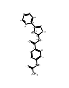 CC(=O)Nc1ccc(C(=O)NC2NC(c3ccccn3)=CS2)cc1